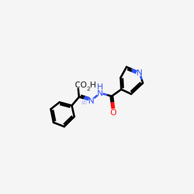 O=C(O)/C(=N\NC(=O)c1ccncc1)c1ccccc1